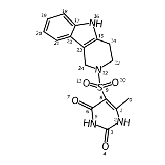 Cc1[nH]c(=O)[nH]c(=O)c1S(=O)(=O)N1CCc2[nH]c3ccccc3c2C1